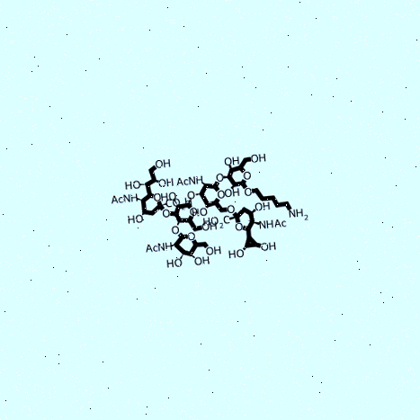 CC(=O)N[C@@H]1C(O[C@H]2C(CO)O[C@@H](O[C@H]3[C@H](O)C(CO[C@]4(C(=O)O)C[C@@H](O)[C@@H](NC(C)=O)C(C5C(O)[C@H]5O)O4)OC(O[C@@H]4[C@H](O)C(OCCCCCN)OC(CO)[C@@H]4O)[C@H]3NC(C)=O)[C@@H](O)C2O[C@@]2(C(=O)O)C[C@H](O)[C@H](NC(C)=O)C([C@H](O)[C@H](O)CO)O2)OC(CO)[C@H](O)[C@@H]1O